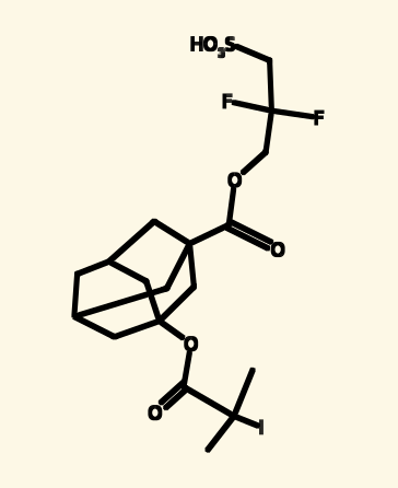 CC(C)(I)C(=O)OC12CC3CC(C1)CC(C(=O)OCC(F)(F)CS(=O)(=O)O)(C3)C2